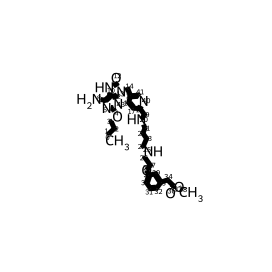 CCCCOc1nc(N)c2[nH]c(=O)n(Cc3ccc(CNCCCCNCCOc4cccc(CC(=O)OC)c4)nc3)c2n1